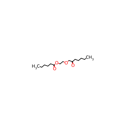 CCCCCC(=O)COCCOC(=O)CCCCC